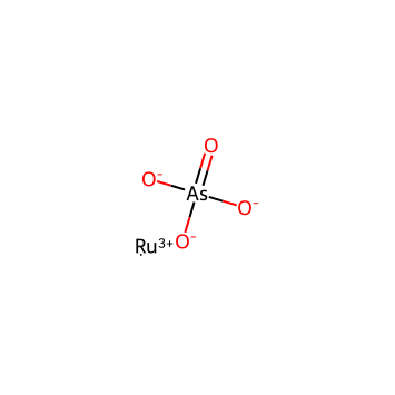 O=[As]([O-])([O-])[O-].[Ru+3]